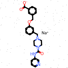 O=C([O-])c1cccc(COc2cccc(CN3CCN(C(=O)Nc4cccnc4)CC3)c2)c1.[Na+]